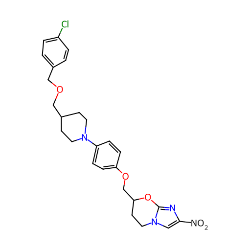 O=[N+]([O-])c1cn2c(n1)OC(COc1ccc(N3CCC(COCc4ccc(Cl)cc4)CC3)cc1)CC2